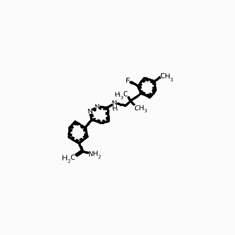 C=C(N)c1cccc(-c2ccc(NCC(C)(C)c3ccc(C)cc3F)nn2)c1